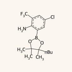 CCCCC1(C)OB(c2cc(Cl)cc(C(F)(F)F)c2N)OC1(C)C